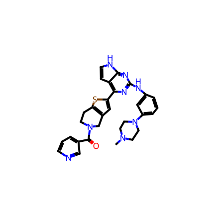 CN1CCN(c2cccc(Nc3nc(-c4cc5c(s4)CCN(C(=O)c4cccnc4)C5)c4cc[nH]c4n3)c2)CC1